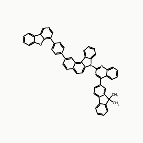 CC1(C)c2ccccc2-c2ccc(-c3nc(-n4c5ccccc5c5c6cc(-c7ccc(-c8cccc9c8oc8ccccc89)cc7)ccc6ccc54)nc4ccccc34)cc21